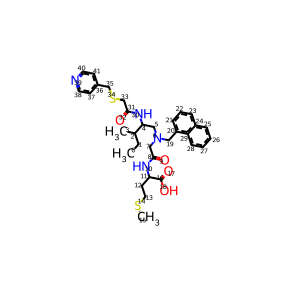 CCC(C)C(CN(CC(=O)NC(CCSC)C(=O)O)Cc1cccc2ccccc12)NC(=O)CSCc1ccncc1